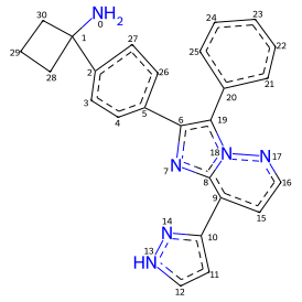 NC1(c2ccc(-c3nc4c(-c5cc[nH]n5)ccnn4c3-c3ccccc3)cc2)CCC1